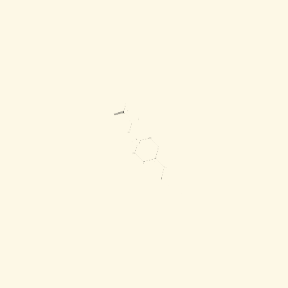 [CH2]CCC1CCN(COC(C)=O)CC1